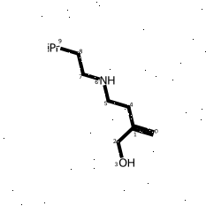 C=C(CO)CCNCCC(C)C